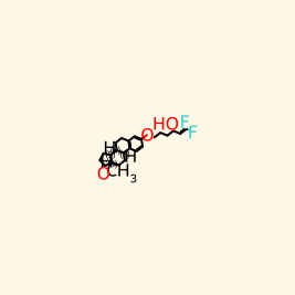 C[C@]12CC[C@@H]3c4ccc(OCCCC(O)C=C(F)F)cc4CC[C@H]3[C@@H]1CCC2=O